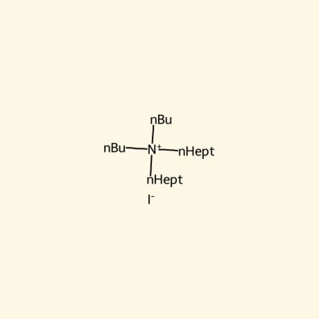 CCCCCCC[N+](CCCC)(CCCC)CCCCCCC.[I-]